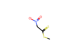 CSC(=S)C[N+](=O)[O-]